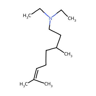 CCN(CC)CCC(C)CCC=C(C)C